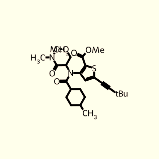 COCC(C(=O)N(C)C)N(C(=O)C1CCC(C)CC1)c1cc(C#CC(C)(C)C)sc1C(=O)OC